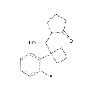 O=C1CCCC1C(O)C1(c2ccccc2F)CCC1